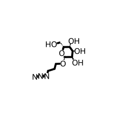 [N-]=[N+]=NCCCO[C@@H]1O[C@H](CO)[C@H](O)[C@H](O)[C@H]1O